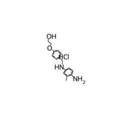 Cc1cc(NCc2ccc(OCCO)cc2)ccc1N.Cl